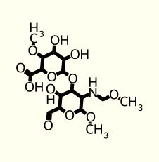 COCNC1C(OC)OC(C=O)C(O)C1OC1OC(C(=O)O)C(OC)C(O)C1O